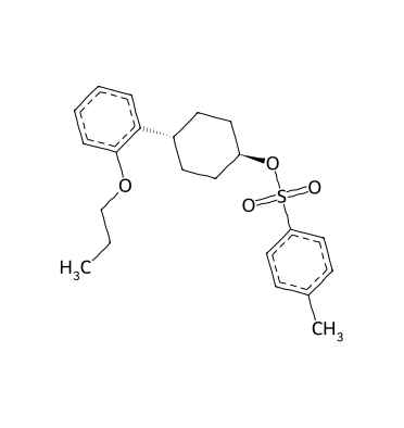 CCCOc1ccccc1[C@H]1CC[C@H](OS(=O)(=O)c2ccc(C)cc2)CC1